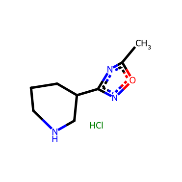 Cc1nc(C2CCCNC2)no1.Cl